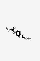 NC(=O)O[C@H]1CC[C@H](CCC=O)CC1